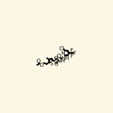 CC(=O)OCCc1sc(S(=O)(=O)NC(=O)Nc2cc(C(F)(F)F)cc(Cl)n2)cc1C